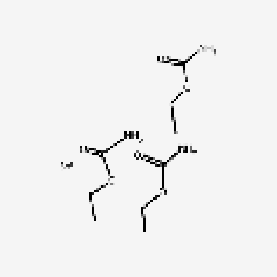 CCOC(N)=O.CCOC(N)=O.CCOC(N)=O.[Sn]